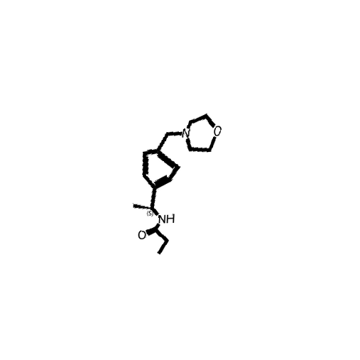 CCC(=O)N[C@@H](C)c1ccc(CN2CCOCC2)cc1